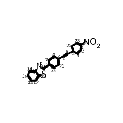 O=[N+]([O-])c1ccc(C#Cc2ccc(-c3nc4ccccc4s3)cc2)cc1